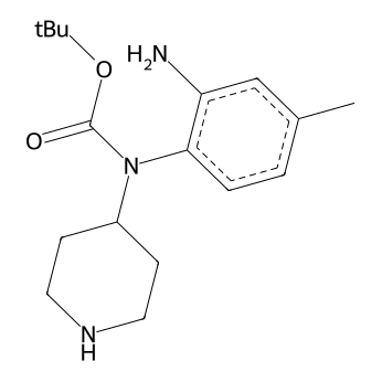 Cc1ccc(N(C(=O)OC(C)(C)C)C2CCNCC2)c(N)c1